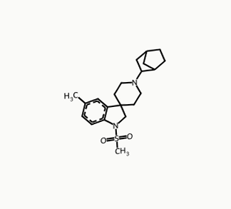 Cc1ccc2c(c1)C1(CCN(C3CC4CCC3C4)CC1)CN2S(C)(=O)=O